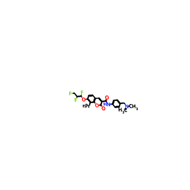 CCCc1c(OC(F)C(F)CF)ccc2cc(C(=O)Nc3ccc(CN(C)C)cc3)c(=O)oc12